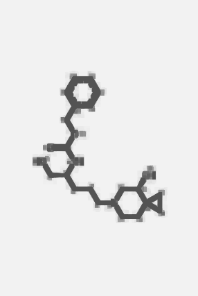 O=C(N[C@H](CO)CCCN1CCC2(CC2)[C@H](O)C1)OCc1ccccc1